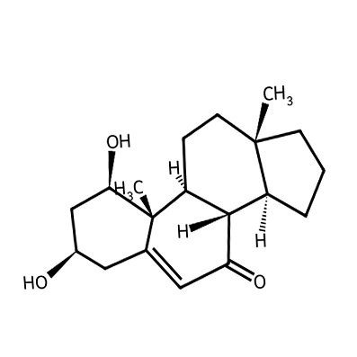 C[C@@]12CCC[C@H]1[C@@H]1C(=O)C=C3C[C@@H](O)C[C@@H](O)[C@]3(C)[C@H]1CC2